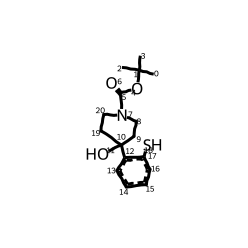 CC(C)(C)OC(=O)N1CCC(O)(c2ccccc2S)CC1